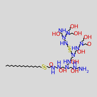 CCCCCCCCCCCCCCCCCCCSSCCC(=O)NCCNC(O)CCN(CCN[C@@H](O)CCN(CCSSCCNCCN(CCC(N)O)CCN(CCCO)CCCO)CCC(O)NCCN(CCC=O)CCCO)CC[C@H](O)NCCN